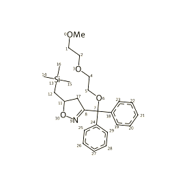 COCCOCCOC(C1=NOC(C[Si](C)(C)C)C1)(c1ccccc1)c1ccccc1